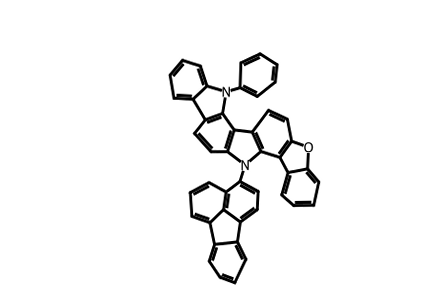 c1ccc(-n2c3ccccc3c3ccc4c(c5ccc6oc7ccccc7c6c5n4-c4ccc5c6c(cccc46)-c4ccccc4-5)c32)cc1